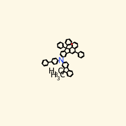 CC1(C)c2ccccc2-c2ccc(N(c3ccc(-c4ccccc4)cc3)c3ccc4c(c3)-c3cc(-c5ccccc5)c5ccccc5c3C4(c3ccccc3)c3ccccc3)cc21